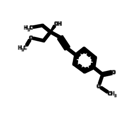 CC[C@](O)(C#Cc1ccc(C(=O)OC)cc1)COC